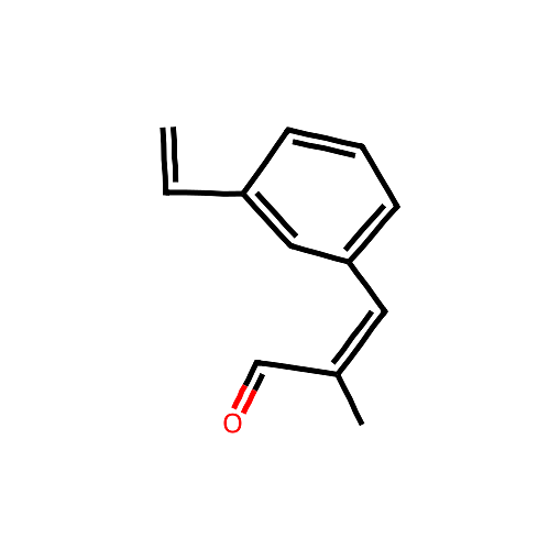 C=Cc1cccc(C=C(C)C=O)c1